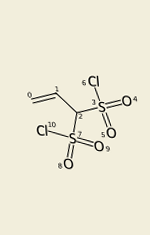 C=CC(S(=O)(=O)Cl)S(=O)(=O)Cl